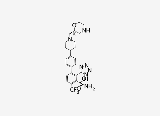 NS(=O)(=O)c1c(C(F)(F)F)ccc(-c2ccc(C3CCN(C[C@@H]4CNCCO4)CC3)cc2)c1-c1nnn[nH]1